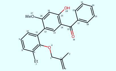 C=C(C)COc1c(CC)cccc1-c1cc(C(=O)c2ccccc2)c(O)cc1OC